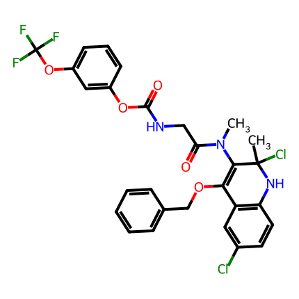 CN(C(=O)CNC(=O)Oc1cccc(OC(F)(F)F)c1)C1=C(OCc2ccccc2)c2cc(Cl)ccc2NC1(C)Cl